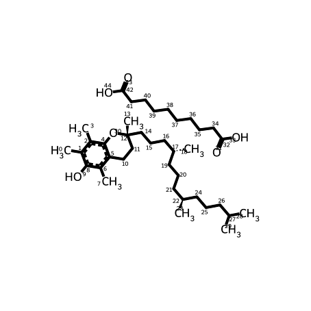 Cc1c(C)c2c(c(C)c1O)CC[C@@](C)(CCC[C@H](C)CCC[C@H](C)CCCC(C)C)O2.O=C(O)CCCCCCCCC(=O)O